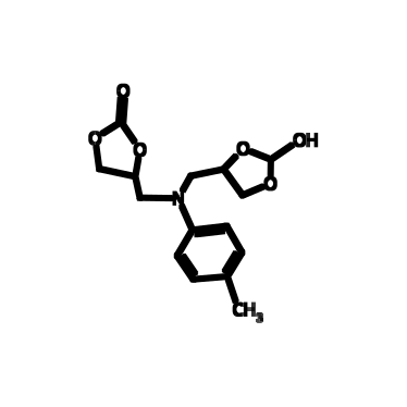 Cc1ccc(N(CC2COC(=O)O2)CC2COC(O)O2)cc1